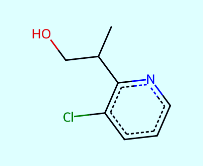 CC(CO)c1ncccc1Cl